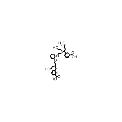 CCCCC(c1cccc(C(=O)O)n1)N(CCO)CCO[C@@H]1CCCC[C@H]1OCCN(CCO)Cc1cccc(C(=O)O)n1